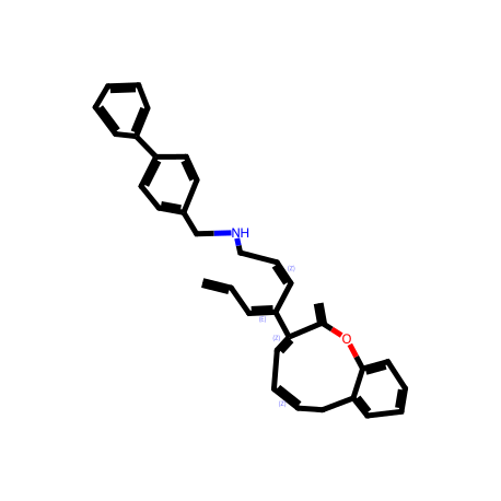 C=C/C=C(\C=C/CNCc1ccc(-c2ccccc2)cc1)C1=C/C=C\Cc2ccccc2OC\1=C